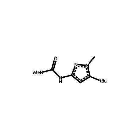 CNC(=O)Nc1cc(C(C)(C)C)n(C)n1